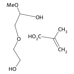 C=C(C)C(=O)O.COC(O)COCCO